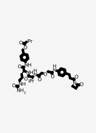 CC(C)C(=O)OCc1ccc(NC(=O)[C@H](CCCNC(N)=O)NC(=O)[C@@H](NC(=O)COCC(=O)Nc2ccc(CCC(=O)N3CCC3=O)cc2)C(C)C)cc1